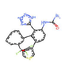 NC(=O)Nc1ccc(-c2ccsc2)c(-c2ccccc2C(F)(F)F)c1-c1nnn[nH]1